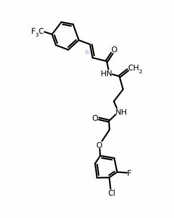 C=C(CCNC(=O)COc1ccc(Cl)c(F)c1)NC(=O)/C=C/c1ccc(C(F)(F)F)cc1